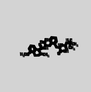 COc1cccc2c1CCN(C)C2C(=O)NC(Cc1ccccc1CC(NC(=O)CC(C)(C)C)C(=O)O)C(=O)O